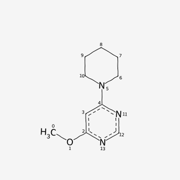 COc1cc(N2CCCCC2)ncn1